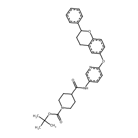 CC(C)(C)OC(=O)N1CCC(C(=O)Nc2ccc(Oc3ccc4c(c3)CCC(c3ccccc3)O4)nc2)CC1